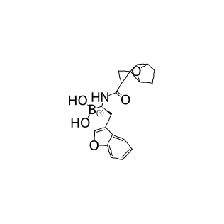 O=C(N[C@@H](Cc1coc2ccccc12)B(O)O)C1CC12CC1CCC2O1